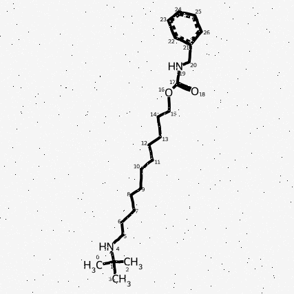 CC(C)(C)NCCCCCCCCCCCOC(=O)NCc1ccccc1